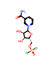 NC(=O)c1ccc[n+](C2O[C@H](COP(=O)(Cl)Cl)[C@@H](O)[C@H]2O)c1